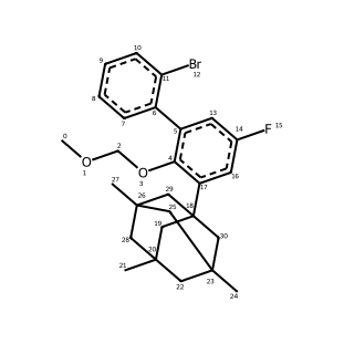 COCOc1c(-c2ccccc2Br)cc(F)cc1C12CC3(C)CC(C)(CC(C)(C3)C1)C2